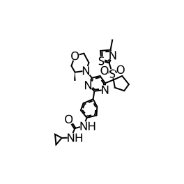 Cc1csc(S(=O)(=O)C2(c3cc(N4CCOC[C@@H]4C)nc(-c4ccc(NC(=O)NC5CC5)cc4)n3)CCCC2)n1